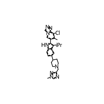 Cc1c(-c2[nH]c3ccc(C4CCN(Cc5ncn(C)n5)CC4)cc3c2C(C)C)cn2cnnc2c1Cl